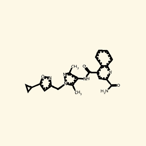 Cc1nn(Cc2cc(C3CC3)on2)c(C)c1NC(=O)c1cc(C(N)=O)nc2ccccc12